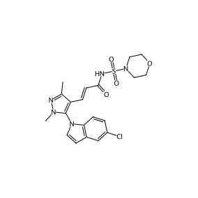 Cc1nn(C)c(-n2ccc3cc(Cl)ccc32)c1C=CC(=O)NS(=O)(=O)N1CCOCC1